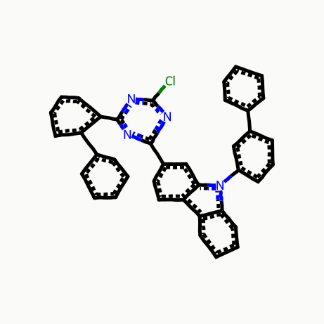 Clc1nc(-c2ccc3c4ccccc4n(-c4cccc(-c5ccccc5)c4)c3c2)nc(-c2ccccc2-c2ccccc2)n1